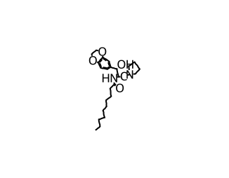 CCCCCCCCCC(=O)NC(CN1CCCC1)C(O)c1ccc2c(c1)OCCO2